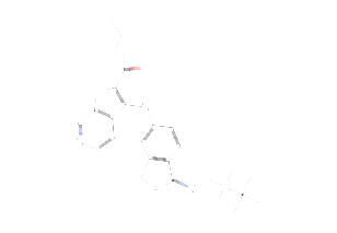 CCOC(=O)c1sc2cnccc2c1Nc1ccc2c(c1)CC/C2=N/O[Si](C)(C)C(C)(C)C